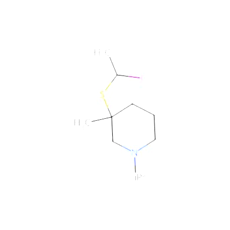 CC(I)SC1(C)CCCN(C(C)C)C1